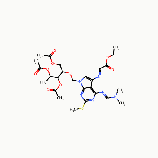 CCOC(=O)/C=N/c1cn(CO[C@H](COC(C)=O)[C@@H](OC(C)=O)C(C)OC(C)=O)c2nc(SC)nc(/N=C/N(C)C)c12